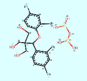 CC(C)c1ccc(OC(c2ccc(C(C)C)cc2C(C)C)C(CO)(CO)CO)c(C(C)C)c1.OP(O)OP(O)O